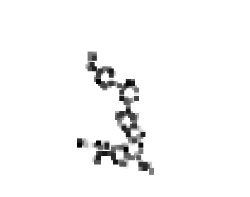 CCOc1ccc(C2CN(c3ncc4sc(CN(C)c5ncc(C(=O)NO)cn5)cc4n3)CCO2)cn1